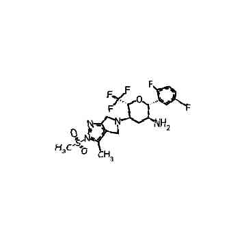 Cc1c2c(nn1S(C)(=O)=O)CN([C@@H]1C[C@H](N)[C@@H](c3cc(F)ccc3F)O[C@H]1C(F)(F)F)C2